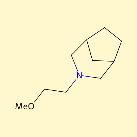 COCCN1CC2CCC(C2)C1